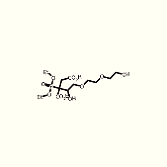 CCOC(=O)C(CC(=O)O)(C(O)COCCOCCO)P(=O)(OCC)OCC